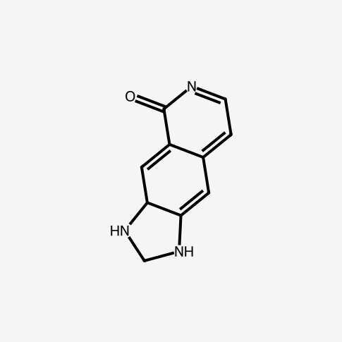 O=C1N=CC=C2C=C3NCNC3C=C12